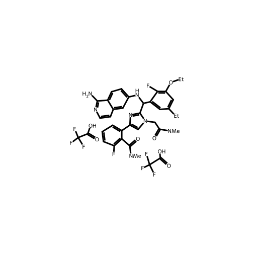 CCOc1cc(CC)cc(C(Nc2ccc3c(N)nccc3c2)c2nc(-c3cccc(F)c3C(=O)NC)cn2CC(=O)NC)c1F.O=C(O)C(F)(F)F.O=C(O)C(F)(F)F